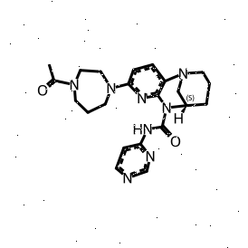 CC(=O)N1CCCN(c2ccc3c(n2)N(C(=O)Nc2ccncn2)[C@H]2CCCN3C2)CC1